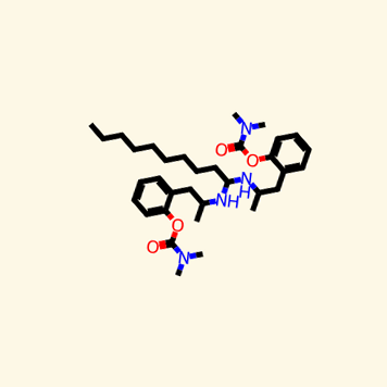 CCCCCCCCCC(NC(C)Cc1ccccc1OC(=O)N(C)C)NC(C)Cc1ccccc1OC(=O)N(C)C